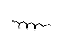 CCCC(=O)NC(=N)CC(C)C